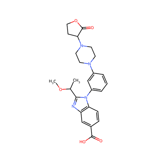 COC(C)c1nc2cc(C(=O)O)ccc2n1-c1cccc(N2CCN(C3CCOC3=O)CC2)c1